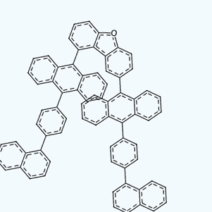 c1ccc2c(-c3ccc(-c4c5ccccc5c(-c5ccc6oc7cccc(-c8c9ccccc9c(-c9ccc(-c%10cccc%11ccccc%10%11)cc9)c9ccccc89)c7c6c5)c5ccccc45)cc3)cccc2c1